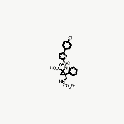 CCOC(=O)NC[C@@]1(c2ccccc2)CC1(NS(=O)(=O)c1ccc(-c2ccc(Cl)cc2)s1)C(=O)O